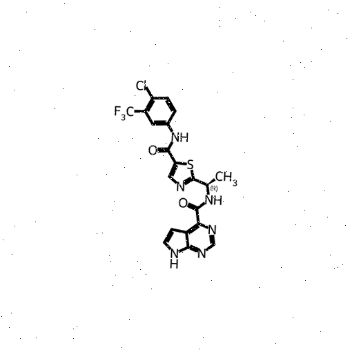 C[C@@H](NC(=O)c1ncnc2[nH]ccc12)c1ncc(C(=O)Nc2ccc(Cl)c(C(F)(F)F)c2)s1